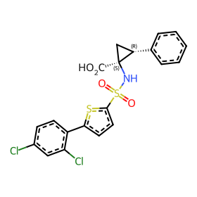 O=C(O)[C@]1(NS(=O)(=O)c2ccc(-c3ccc(Cl)cc3Cl)s2)C[C@@H]1c1ccccc1